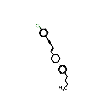 CCCCc1ccc([C@H]2CC[C@H](C=CC#Cc3ccc(Cl)cc3)CC2)cc1